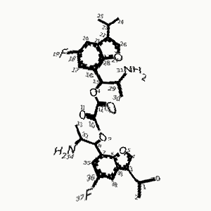 CC(C)c1coc2c(C(OC(=O)C(=O)OC(c3cc(F)cc4c(C(C)C)coc34)C(C)N)C(C)N)cc(F)cc12